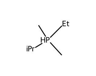 CC[PH](C)(C)C(C)C